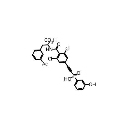 CC(=O)c1cccc(C[C@H](NC(=O)c2c(Cl)cc(C#CP(=O)(O)c3cccc(O)c3)cc2Cl)C(=O)O)c1